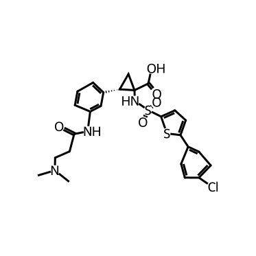 CN(C)CCC(=O)Nc1cccc([C@@H]2CC2(NS(=O)(=O)c2ccc(-c3ccc(Cl)cc3)s2)C(=O)O)c1